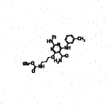 CCNc1nc(Nc2cccc(C)c2)c(C(N)=O)c(OCCCNC(=O)OC(C)(C)C)n1